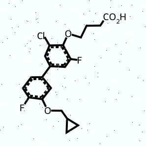 O=C(O)CCCOc1c(F)cc(-c2ccc(F)c(OCC3CC3)c2)cc1Cl